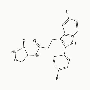 O=C(CCc1c(-c2ccc(F)cc2)[nH]c2ccc(F)cc12)NC1CONC1=O